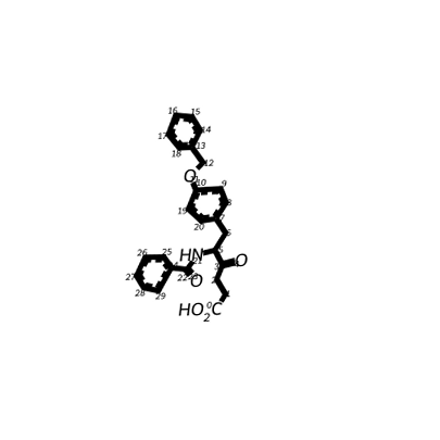 O=C(O)CCC(=O)C(Cc1ccc(OCc2ccccc2)cc1)NC(=O)c1ccccc1